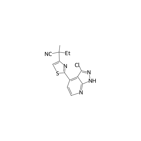 CCC(C)(C#N)c1csc(-c2ccnc3[nH]nc(Cl)c23)n1